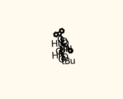 CC(C)(C)OC(=O)NCC(=O)NC[C@@H](NC(=O)OCC1c2ccccc2-c2ccccc21)C(=O)OCc1ccccc1